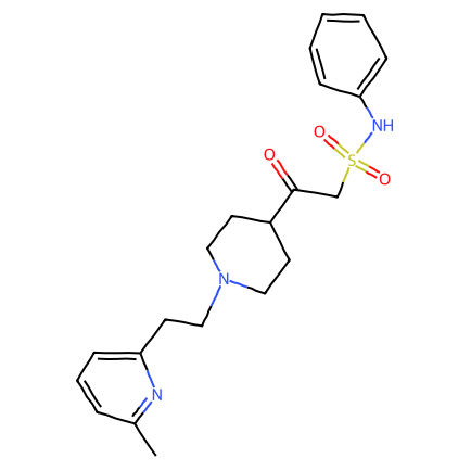 Cc1cccc(CCN2CCC(C(=O)CS(=O)(=O)Nc3ccccc3)CC2)n1